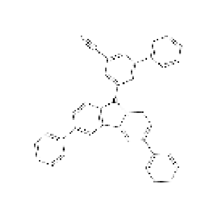 N#Cc1cc(-c2ccncc2)cc(-n2c3ccc(-c4ccccc4)cc3c3cc(-c4ccccc4)ccc32)c1